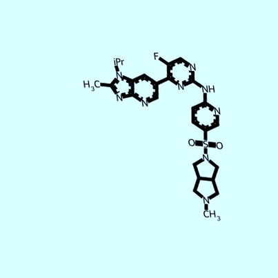 Cc1nc2ncc(-c3nc(Nc4ccc(S(=O)(=O)N5CC6CN(C)CC6C5)cn4)ncc3F)cc2n1C(C)C